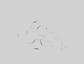 Cc1ccc(O)cc1[C@]12CCN(CC3CC3)[C@H](C)[C@]1(O)Cc1c(C)nn(C3CCCCC3)c1C2